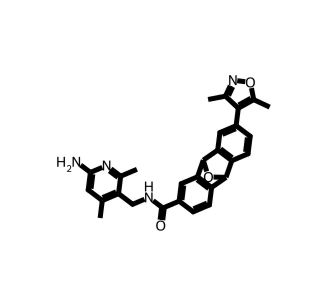 Cc1cc(N)nc(C)c1CNC(=O)c1ccc2c(c1)C1OC2c2ccc(-c3c(C)noc3C)cc21